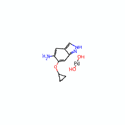 Nc1cc2c[nH]nc2cc1OC1CC1.[OH][Pd][OH]